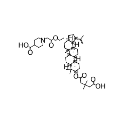 C=C(C)[C@@H]1CC[C@]2(CCOC(=O)CN3CCC(C(=O)O)CC3)CC[C@]3(C)[C@H](CC[C@@H]4[C@@]5(C)CC[C@H](OC(=O)CC(C)(C)CC(=O)O)C(C)(C)[C@@H]5CC[C@]43C)[C@@H]12